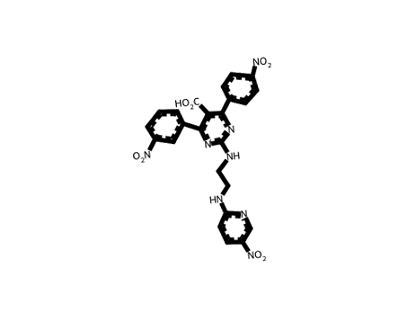 O=C(O)c1c(-c2ccc([N+](=O)[O-])cc2)nc(NCCNc2ccc([N+](=O)[O-])cn2)nc1-c1cccc([N+](=O)[O-])c1